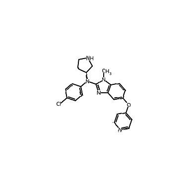 Cn1c(N(c2ccc(Cl)cc2)[C@H]2CCNC2)nc2cc(Oc3c[c]ncc3)ccc21